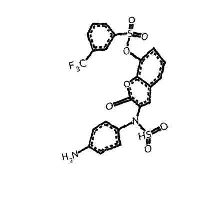 Nc1ccc(N(c2cc3cccc(OS(=O)(=O)c4cccc(C(F)(F)F)c4)c3oc2=O)[SH](=O)=O)cc1